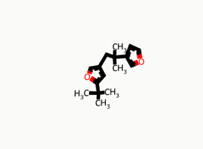 CC(C)(C)c1cc(CC(C)(C)c2ccoc2)co1